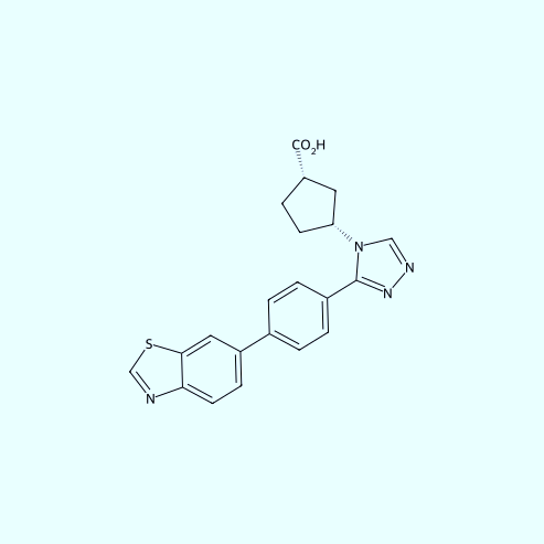 O=C(O)[C@H]1CC[C@@H](n2cnnc2-c2ccc(-c3ccc4ncsc4c3)cc2)C1